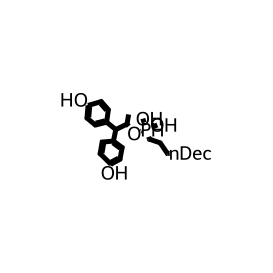 CCCCCCCCCCCCC[PH](O)(O)OC(C)C(c1ccc(O)cc1)c1ccc(O)cc1